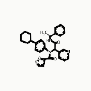 C[C@H](NC(=O)C(c1cccnc1)N(C(=O)c1ccno1)c1ccc(C2CCCCC2)cc1)c1ccccc1